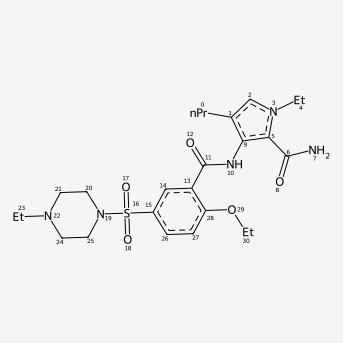 CCCc1cn(CC)c(C(N)=O)c1NC(=O)c1cc(S(=O)(=O)N2CCN(CC)CC2)ccc1OCC